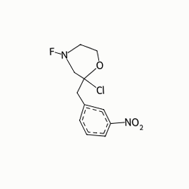 O=[N+]([O-])c1cccc(CC2(Cl)CN(F)CCO2)c1